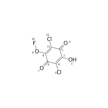 O=C1C(O)=C(Cl)C(=O)C(OF)=C1Cl